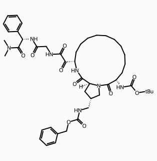 CN(C)C(=O)[C@@H](NC(=O)CNC(=O)C(=O)[C@@H]1CCCCCCCCCC[C@H](NC(=O)OC(C)(C)C)C(=O)N2C[C@H](CNC(=O)OCc3ccccc3)C[C@H]2C(=O)N1)c1ccccc1